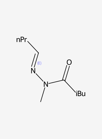 CCC/C=N/N(C)C(=O)C(C)CC